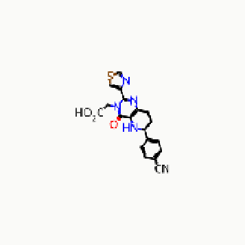 N#Cc1ccc(C2CCc3nc(-c4cscn4)n(CC(=O)O)c(=O)c3N2)cc1